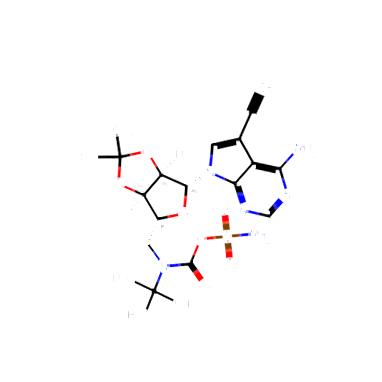 C#Cc1cn([C@@H]2O[C@H](CN(C(=O)OS(N)(=O)=O)C(C)(C)C)[C@H]3OC(C)(C)O[C@H]32)c2ncnc(N)c12